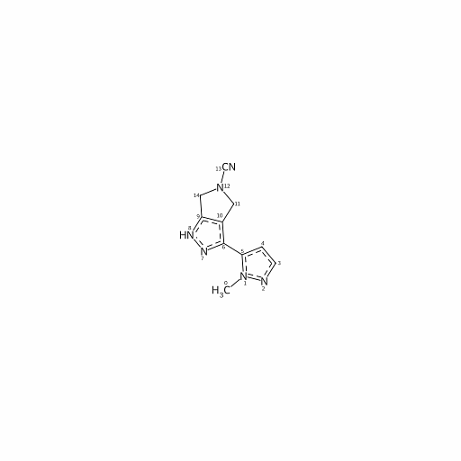 Cn1nccc1-c1n[nH]c2c1CN(C#N)C2